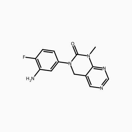 CN1C(=O)N(c2ccc(F)c(N)c2)Cc2cncnc21